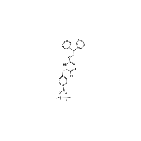 CC1(C)OB(c2ccc(C[C@H](NC(=O)OCC3c4ccccc4-c4ccccc43)C(=O)O)cc2)OC1(C)C